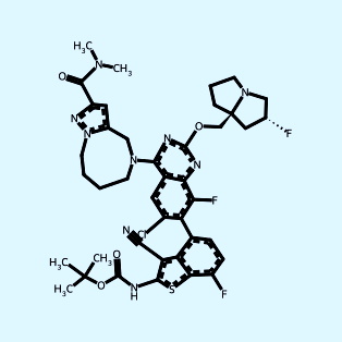 CN(C)C(=O)c1cc2n(n1)CCCCN(c1nc(OC[C@@]34CCCN3C[C@H](F)C4)nc3c(F)c(-c4ccc(F)c5sc(NC(=O)OC(C)(C)C)c(C#N)c45)c(Cl)cc13)C2